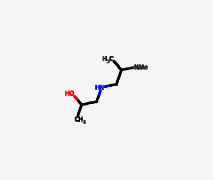 CNC(C)CNCC(C)O